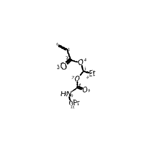 C=CC(=O)OC(CC)OC(=O)NCCC